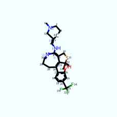 CN1CCC/C(=C\NC2=C3\CSC(C)(C)\C3=C(/c3ccc(C(F)(F)F)cc3O)CC/C=N\2)C1